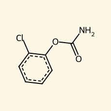 NC(=O)Oc1ccccc1Cl